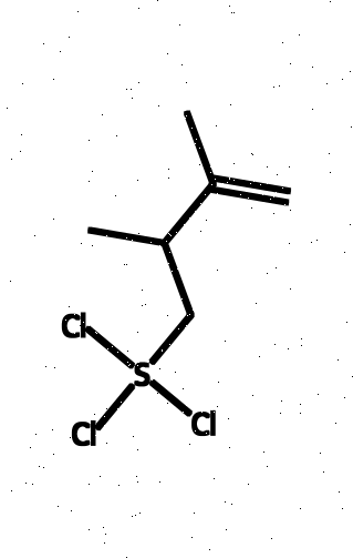 C=C(C)C(C)CS(Cl)(Cl)Cl